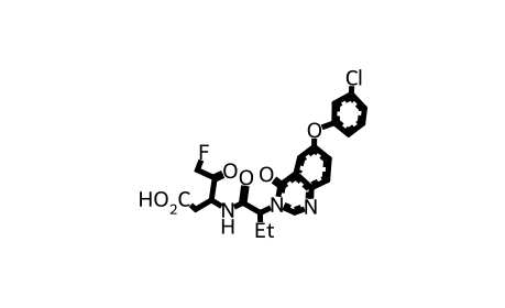 CCC(C(=O)NC(CC(=O)O)C(=O)CF)n1cnc2ccc(Oc3cccc(Cl)c3)cc2c1=O